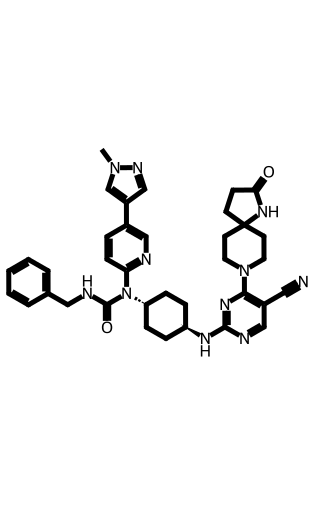 Cn1cc(-c2ccc(N(C(=O)NCc3ccccc3)[C@H]3CC[C@H](Nc4ncc(C#N)c(N5CCC6(CCC(=O)N6)CC5)n4)CC3)nc2)cn1